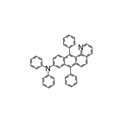 c1ccc(-c2c3cc(N(c4ccccc4)c4ccccc4)ccc3c(-c3ccccc3)c3c2ccc2cccnc23)cc1